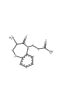 NC1COc2ccccc2N(CCC(=O)O)C1=O